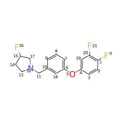 Fc1ccc(Oc2cccc(CN3CCC(F)C3)c2)cc1F